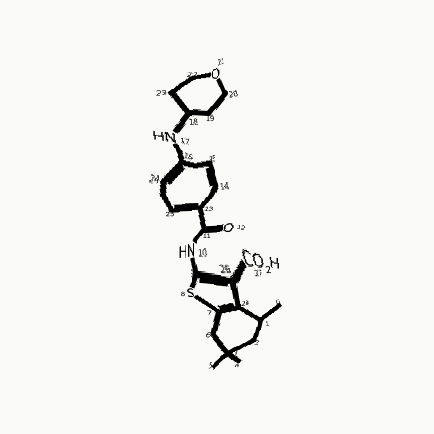 CC1CC(C)(C)Cc2sc(NC(=O)c3ccc(NC4CCOCC4)cc3)c(C(=O)O)c21